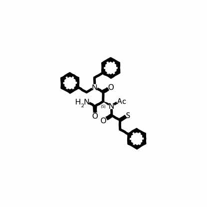 CC(=O)N(C(=O)C(=S)Cc1ccccc1)[C@@H](C(N)=O)C(=O)N(Cc1ccccc1)Cc1ccccc1